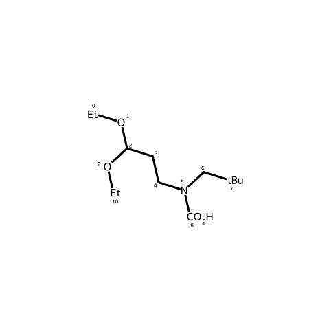 CCOC(CCN(CC(C)(C)C)C(=O)O)OCC